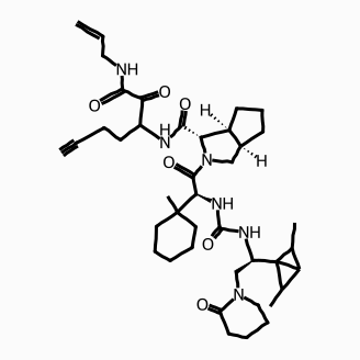 C#CCCC(NC(=O)[C@@H]1[C@H]2CCC[C@H]2CN1C(=O)[C@@H](NC(=O)N[C@H](CN1CCCCC1=O)C12C(C)C1C2C)C1(C)CCCCC1)C(=O)C(=O)NCC=C